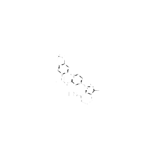 C[C@H](Nc1cc(-n2nc(C(F)(F)F)c3c2C(N)CCC3)ccn1)c1ccc2c(c1)OC(F)(F)O2